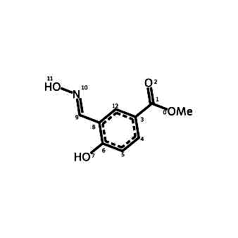 COC(=O)c1ccc(O)c(C=NO)c1